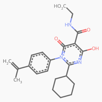 C=C(C)c1ccc(-n2c(C3CCCCC3)nc(O)c(C(=O)NCC(=O)O)c2=O)cc1